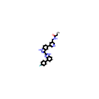 CC(C)CC(=O)NCc1cncc(-c2ccc3[nH]nc(-c4nc5c(-c6ccc(F)cc6)cccc5[nH]4)c3c2)c1